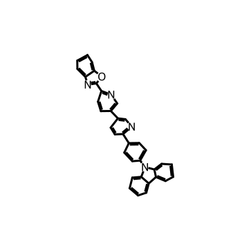 c1ccc2oc(-c3ccc(-c4ccc(-c5ccc(-n6c7ccccc7c7ccccc76)cc5)nc4)cn3)nc2c1